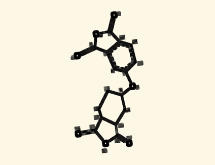 O=C1OC(=O)c2cc(OC3CCC4C(=O)OC(=O)C4C3)ccc21